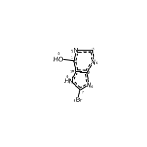 Oc1n[c]nc2nc(Br)[nH]c12